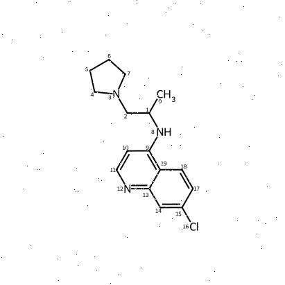 CC(CN1CCCC1)Nc1ccnc2cc(Cl)ccc12